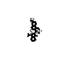 Cc1c2c(c(C(C)C)c3ccccc13)Sc1cc3cc([Si](C)(C)C)ccc3c3cc[n+](C)c-2c13